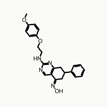 COc1ccc(OCCNc2ncc3c(n2)CC(c2ccccc2)C/C3=N\O)cc1